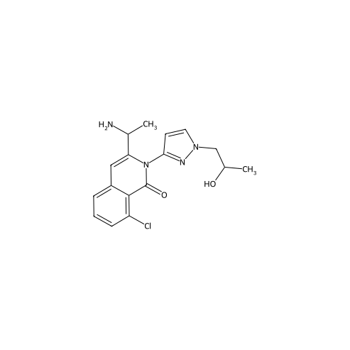 CC(O)Cn1ccc(-n2c(C(C)N)cc3cccc(Cl)c3c2=O)n1